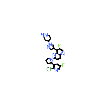 Fc1cnc(Cl)c([C@H]2CCCN2c2ccc3ncc(F)c(-c4cnn(C5CCNCC5)c4)c3n2)c1